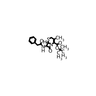 CC1=C(C(=O)OC(C)(C)C)N2C(=O)[C@@H](NC(=O)Cc3ccccc3)[C@H]2SC1